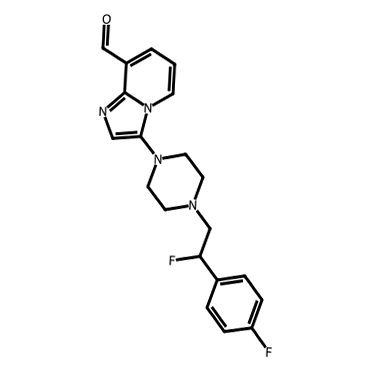 O=Cc1cccn2c(N3CCN(CC(F)c4ccc(F)cc4)CC3)cnc12